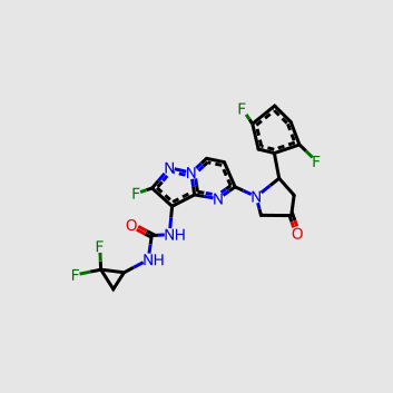 O=C1CC(c2cc(F)ccc2F)N(c2ccn3nc(F)c(NC(=O)NC4CC4(F)F)c3n2)C1